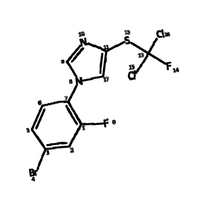 Fc1cc(Br)ccc1-n1cnc(SC(F)(Cl)Cl)c1